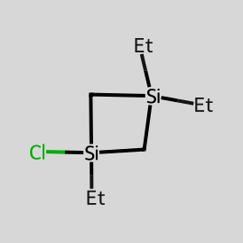 CC[Si]1(Cl)C[Si](CC)(CC)C1